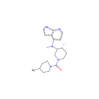 C[C@@H]1CCN(C(=O)N2CCC(C#N)CC2)CC1N(C)c1ccnc2[nH]ccc12